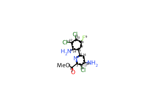 COC(=O)c1nc(-c2cc(F)c(Cl)c(Cl)c2N)cc(N)c1Cl